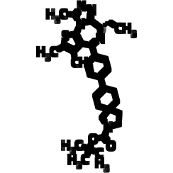 CC[C@@H]1N=C(c2ccc(C3=CCC4(CC3)CCN(C(=O)OC(C)(C)C)C4)cc2)c2c(sc(C)c2C)-n2c(C)nnc21